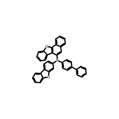 c1ccc(-c2ccc(N(c3ccc4c(c3)oc3ccccc34)c3cc4ccccc4c4oc5ccccc5c34)cc2)cc1